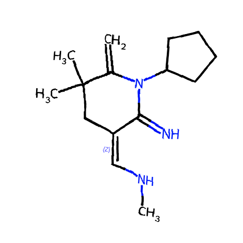 C=C1N(C2CCCC2)C(=N)/C(=C\NC)CC1(C)C